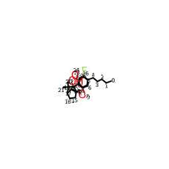 CCCCCc1cc(OC)c(C2(O)C3(C)CCC(C3)C2(C)C)c(OC)c1F